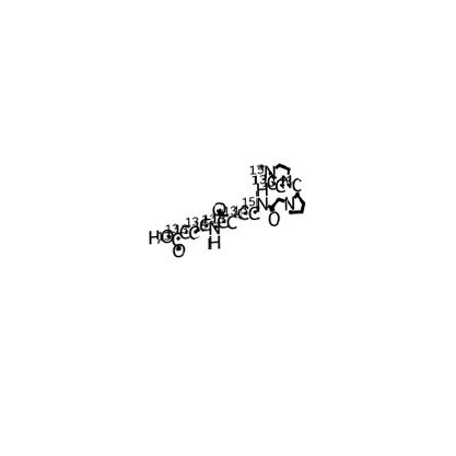 C[15N]1CCN([13CH2]C2CCCN2CC(=O)[15NH][13CH2][13CH2][13CH2][13C](=O)[15NH][13CH2][13CH2][13CH2][13C](=O)O)[13CH2][13CH2]1